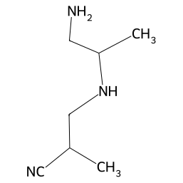 CC(C#N)CNC(C)CN